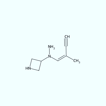 C#C/C(C)=C\N(N)C1CNC1